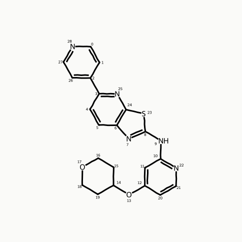 c1cc(-c2ccc3nc(Nc4cc(OC5CCOCC5)ccn4)sc3n2)ccn1